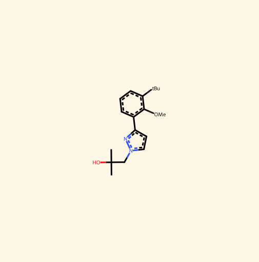 COc1c(-c2ccn(CC(C)(C)O)n2)cccc1C(C)(C)C